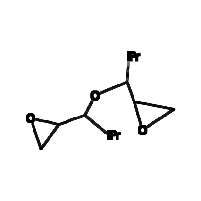 CC(C)C(OC(C(C)C)C1CO1)C1CO1